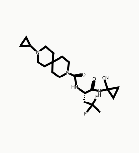 CC(F)(F)C[C@H](NC(=O)N1CCC2(CC1)CCN(C1CC1)CC2)C(=O)NC1(C#N)CC1